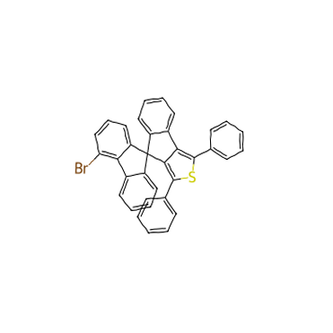 Brc1cccc2c1-c1ccccc1C21c2ccccc2-c2c(-c3ccccc3)sc(-c3ccccc3)c21